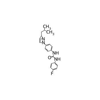 CC(C)CC1c2cn(-c3ccc(NC(=O)Nc4ccc(F)cc4)cc3)n21